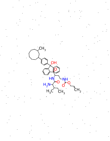 C=CCOC(=O)NCCC(NC(=O)C(N)C(C)CC)C(=O)c1ccccc1C(O)(c1ccccc1)c1ccc(C2CCCCCCC(C)C2)cc1